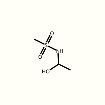 CC(O)NS(C)(=O)=O